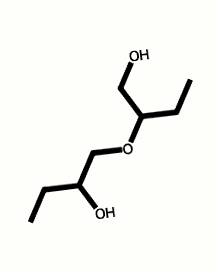 CCC(O)COC(CC)CO